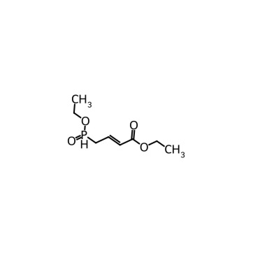 CCOC(=O)/C=C/C[PH](=O)OCC